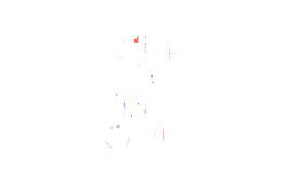 O=C(O)C1(C(=O)O)C=Cc2nn(-c3ccccc3O)nc2C1